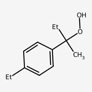 CCc1ccc(C(C)(CC)OO)cc1